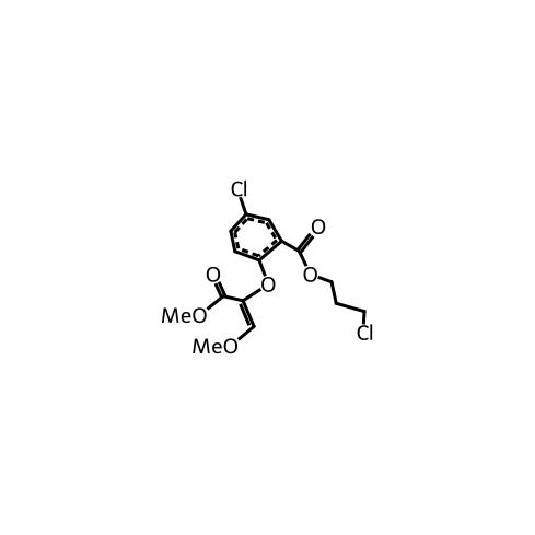 COC=C(Oc1ccc(Cl)cc1C(=O)OCCCCl)C(=O)OC